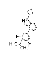 CC(C)c1c(F)cc(-c2cccc3c2cnn3C2CCC2)cc1F